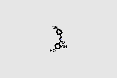 CC(C)(C)c1ccc(/C=C/C(=O)c2ccc(O)cc2O)cc1